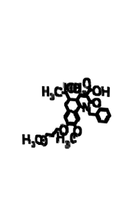 COCCCOc1cc2c(cc1OC)-c1c(c(O)c(C(=O)O)c(=O)n1Cc1ccccc1)C(C(C)C)C2